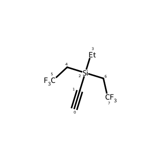 C#C[Si](CC)(CC(F)(F)F)CC(F)(F)F